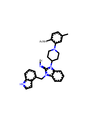 CC(=O)N=c1n(Cc2cccc3[nH]ccc23)c2ccccc2n1C1CCN(c2cc(C)ccc2NC(C)=O)CC1